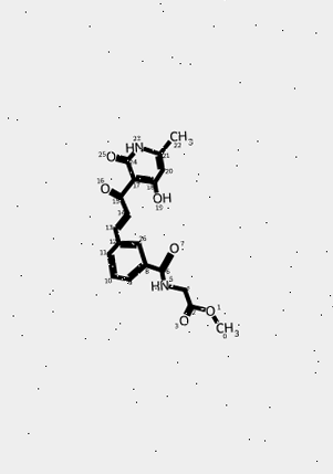 COC(=O)CNC(=O)c1cccc(/C=C/C(=O)c2c(O)cc(C)[nH]c2=O)c1